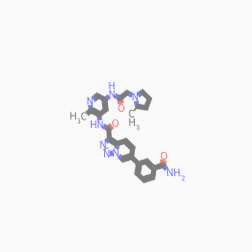 Cc1ncc(NC(=O)CN2CCC[C@@H]2C)cc1NC(=O)c1nnn2cc(-c3cccc(C(N)=O)c3)ccc12